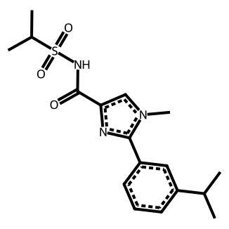 CC(C)c1cccc(-c2nc(C(=O)NS(=O)(=O)C(C)C)cn2C)c1